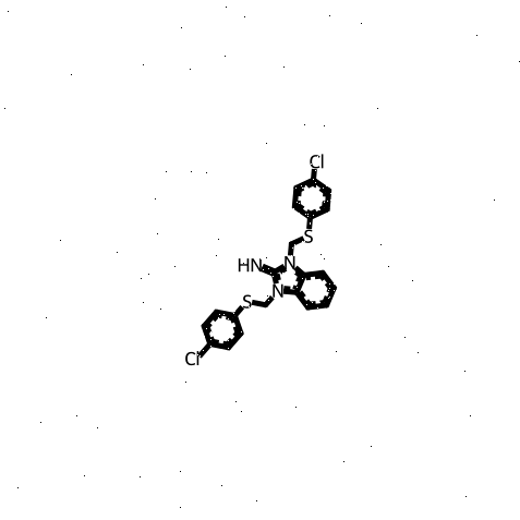 N=c1n(CSc2ccc(Cl)cc2)c2ccccc2n1CSc1ccc(Cl)cc1